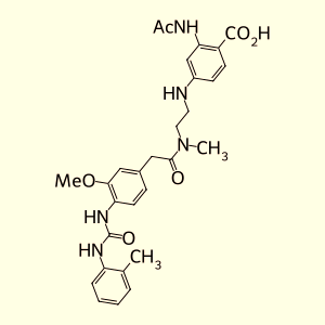 COc1cc(CC(=O)N(C)CCNc2ccc(C(=O)O)c(NC(C)=O)c2)ccc1NC(=O)Nc1ccccc1C